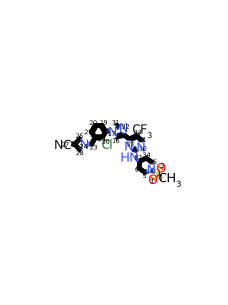 CS(=O)(=O)N1CCC(Nc2ncc(C(F)(F)F)c(-c3cn(-c4cccc(CN5CC(C#N)C5)c4Cl)cn3)n2)CC1